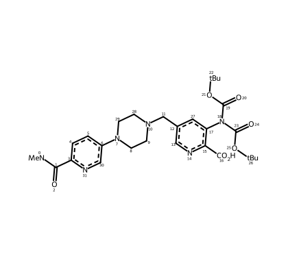 CNC(=O)c1ccc(N2CCN(Cc3cnc(C(=O)O)c(N(C(=O)OC(C)(C)C)C(=O)OC(C)(C)C)c3)CC2)cn1